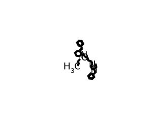 CCCC[C@@H]1CCCC(=C\c2ccccc2)/C1=N/OCCCN1CCN(Cc2ccccc2)CC1